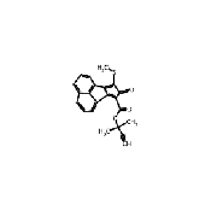 C#CC(C)(C)OC(=O)C1=C2C(=C(SC)C1=O)c1cccc3cccc2c13